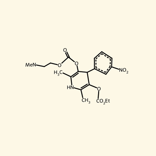 CCOC(=O)OC1=C(C)NC(C)=C(OC(=O)OCCNC)C1c1cccc([N+](=O)[O-])c1